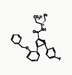 CC(C)C[C@@H](CC(=O)O)NC(=O)c1cc(-c2ccccc2OCc2ccccc2)n(-c2ccc(F)cc2)n1